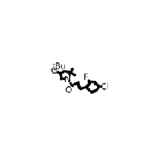 CC(C)(C)OC1CN(C(=O)/C=C/c2ccc(Cl)cc2F)C(C)(C)C1